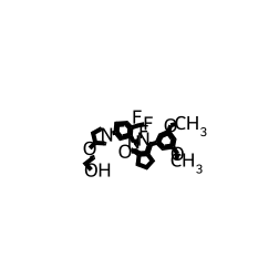 COc1cc(OC)cc(-c2nn(-c3cc(N4CCC(OCCO)C4)ccc3C(F)(F)F)c(=O)c3c2CCC3)c1